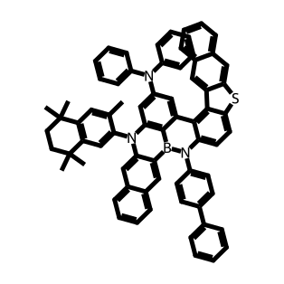 Cc1cc2c(cc1N1c3cc4ccccc4cc3B3c4c(cc(N(c5ccccc5)c5ccccc5)cc41)-c1c(ccc4sc5cc6ccccc6cc5c14)N3c1ccc(-c3ccccc3)cc1)C(C)(C)CCC2(C)C